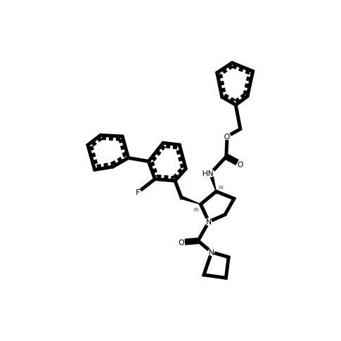 O=C(N[C@H]1CCN(C(=O)N2CCC2)[C@H]1Cc1cccc(-c2ccccc2)c1F)OCc1ccccc1